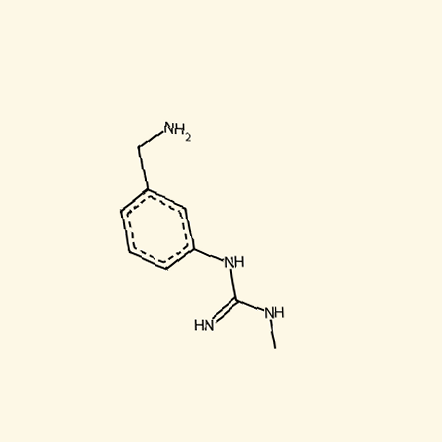 CNC(=N)Nc1cccc(CN)c1